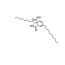 CCCCCCCCCC1=CC(C(=O)O)C(CCCCCCCCC)(C(=O)O)C=C1